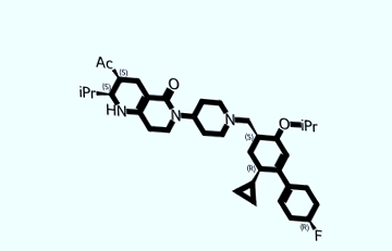 CC(=O)[C@H]1CC2=C(CCN(C3CCN(C[C@@H]4C[C@H](C5CC5)C(C5=CC[C@H](F)CC5)=CC4OC(C)C)CC3)C2=O)N[C@H]1C(C)C